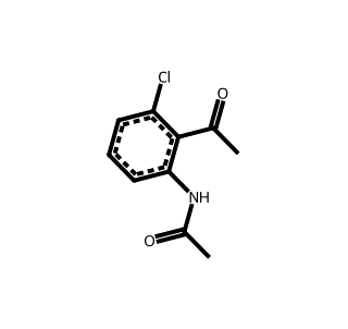 CC(=O)Nc1cccc(Cl)c1C(C)=O